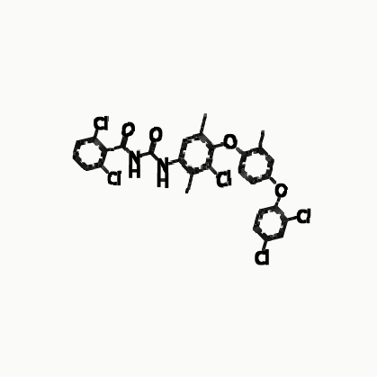 Cc1cc(Oc2ccc(Cl)cc2Cl)ccc1Oc1c(C)cc(NC(=O)NC(=O)c2c(Cl)cccc2Cl)c(C)c1Cl